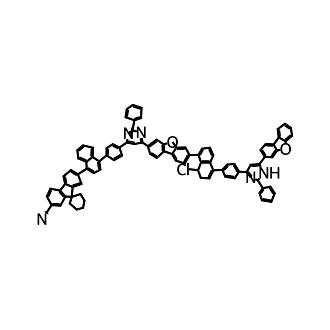 N#Cc1ccc2c(c1)C1(CCCCC1)c1cc(-c3ccc(-c4ccc(-c5cc(-c6ccc7c(c6)oc6cc(-c8cccc9c8C(Cl)CC=C9c8ccc(C9=NC(c%10ccccc%10)NC(c%10ccc%11c(c%10)oc%10ccccc%10%11)=C9)cc8)ccc67)nc(-c6ccccc6)n5)cc4)c4ccccc34)ccc1-2